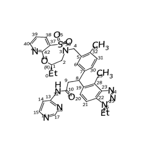 CC[C@@H]1CN(Cc2cc(C(CC(=O)Nc3ccncn3)c3ccc4c(nnn4CC)c3C)ccc2C)S(=O)(=O)c2cccnc2O1